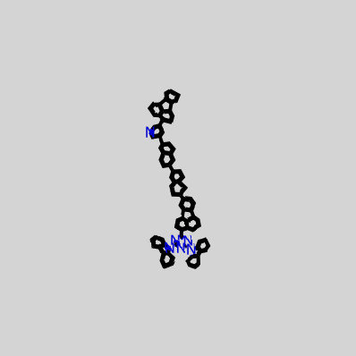 c1ccc2c(c1)-c1cccc3c(-c4cncc(-c5ccc6cc(-c7ccc8cc(-c9ccc%10c(c9)-c9ccc(-c%11nc(-n%12c%13ccccc%13c%13ccccc%13%12)nc(-n%12c%13ccccc%13c%13ccccc%13%12)n%11)c%11cccc-%10c9%11)ccc8c7)ccc6c5)c4)ccc-2c13